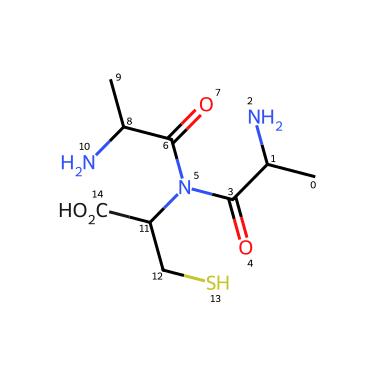 CC(N)C(=O)N(C(=O)C(C)N)C(CS)C(=O)O